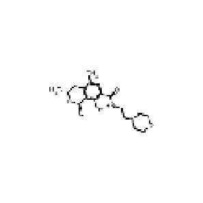 Cc1cc(C(=O)NCCN2CCOCC2)c(O)c2c1C[C@@H](C)OC2=O